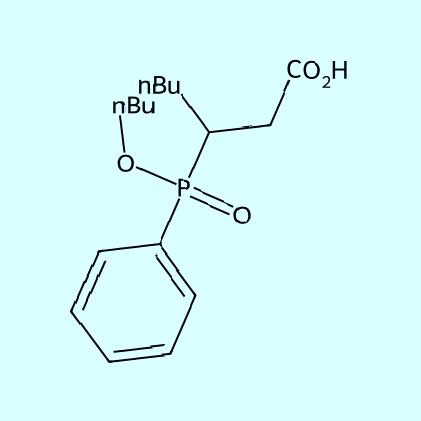 CCCCOP(=O)(c1ccccc1)C(CCCC)CC(=O)O